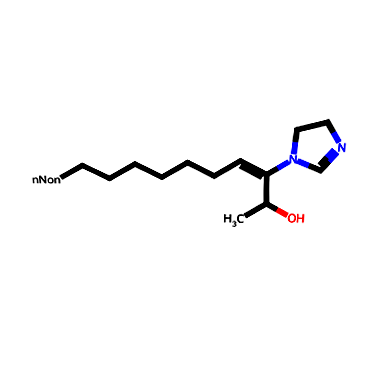 CCCCCCCCCCCCCCCC=C(C(C)O)N1C=NCC1